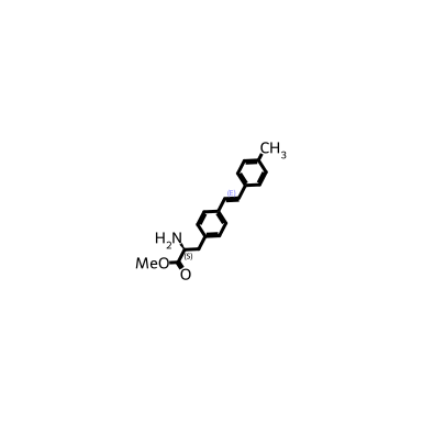 COC(=O)[C@@H](N)Cc1ccc(/C=C/c2ccc(C)cc2)cc1